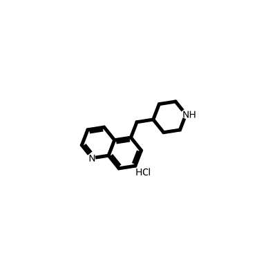 Cl.c1cc(CC2CCNCC2)c2cccnc2c1